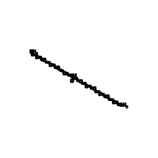 NCCOCCOCCOCCOCCOCCNC(=O)CCOCCOCCOCCOCCOCCOCCN